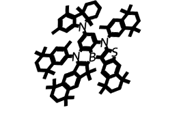 Cc1cc(C)c2c(c1)N(c1cc3c4c(c1)N(c1cc5c(cc1C)C(C)(C)CCC5(C)C)c1sc5cc6c(cc5c1B4C1=C(c4cc5c(cc4C1(C)C)C(C)(C)CCC5(C)C)N3c1cc3c(cc1C)C(C)(C)CCC3(C)C)C(C)(C)CCC6(C)C)C1(C)CCCCC21C